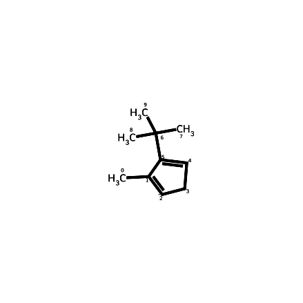 CC1=[C]CC=C1C(C)(C)C